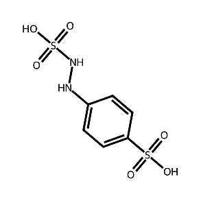 O=S(=O)(O)NNc1ccc(S(=O)(=O)O)cc1